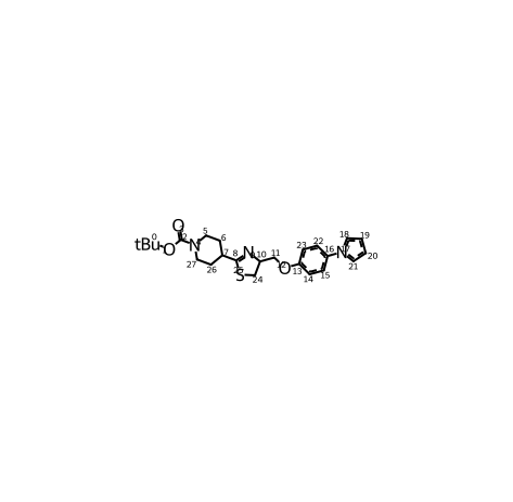 CC(C)(C)OC(=O)N1CCC(C2=NC(COc3ccc(-n4cccc4)cc3)CS2)CC1